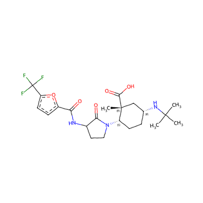 CC(C)(C)N[C@@H]1CC[C@H](N2CCC(NC(=O)c3ccc(C(F)(F)F)o3)C2=O)[C@](C)(C(=O)O)C1